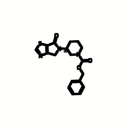 O=C(OCc1ccccc1)N1CCC[C@H](N2Cc3ncsc3C2=O)C1